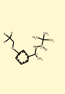 C[C@H](N[S@+]([O-])C(C)(C)C)c1cccc(OCC(F)(F)F)c1